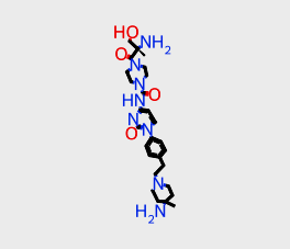 CC1(N)CCN(CCc2ccc(-n3ccc(NC(=O)N4CCN(C(=O)[C@@](C)(N)CO)CC4)nc3=O)cc2)CC1